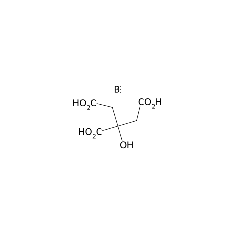 O=C(O)CC(O)(CC(=O)O)C(=O)O.[B]